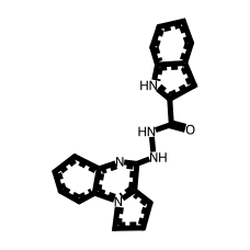 O=C(NNc1nc2ccccc2n2cccc12)c1cc2ccccc2[nH]1